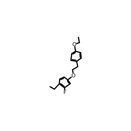 CCOc1ccc(CCOc2ccc(CC)c(F)c2)cc1